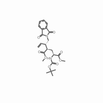 C=C[C@H](CN1C(=O)c2ccccc2C1=O)[C@@H](C[C@H](NC(=O)OC(C)(C)C)C(=O)OC)C(=O)OC